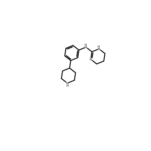 c1cc(NC2=NCCCN2)cc(C2CCNCC2)c1